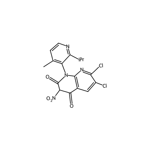 Cc1ccnc(C(C)C)c1N1C(=O)C([N+](=O)[O-])C(=O)c2cc(Cl)c(Cl)nc21